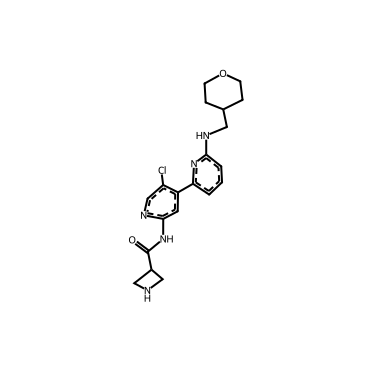 O=C(Nc1cc(-c2cccc(NCC3CCOCC3)n2)c(Cl)cn1)C1CNC1